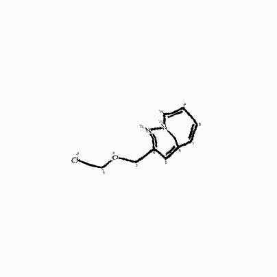 ClCOCc1cc2ccccn2n1